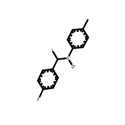 Cc1ccc([S+]([O-])C(I)c2ccc(F)cc2)cc1